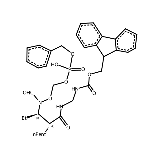 CCCCC[C@@H](C(=O)NCNC(=O)OCC1c2ccccc2-c2ccccc21)[C@@H](CC)N(C=O)OCOP(=O)(O)OCc1ccccc1